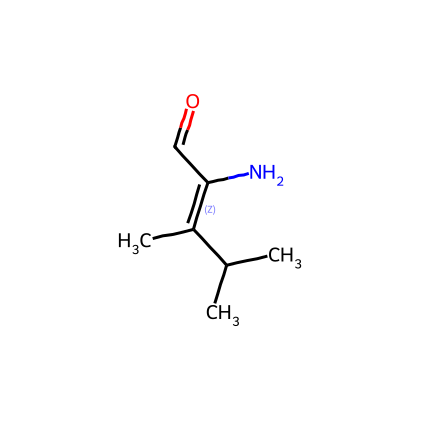 C/C(=C(/N)C=O)C(C)C